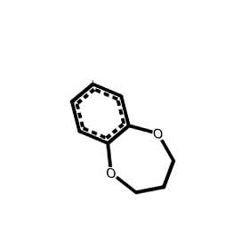 [c]1ccc2c(c1)OCCCO2